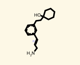 NC/C=C/c1cccc(CCC2(O)CCCCC2)c1